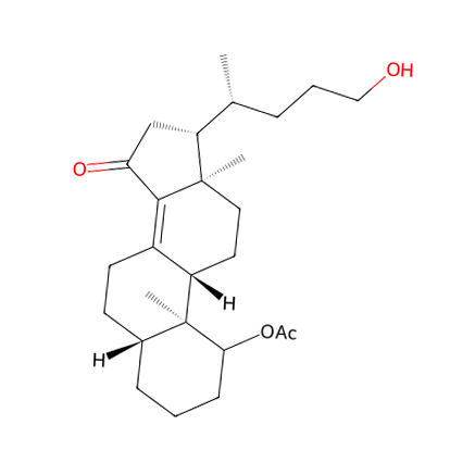 CC(=O)OC1CCC[C@@H]2CCC3=C4C(=O)C[C@H]([C@H](C)CCCO)[C@@]4(C)CC[C@@H]3[C@@]12C